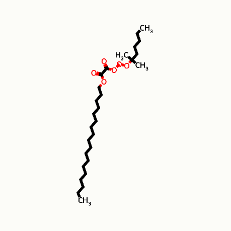 CCCCCCCCCCCCCCCCCCOC(=O)C(=O)OOOC(C)(C)CCCCC